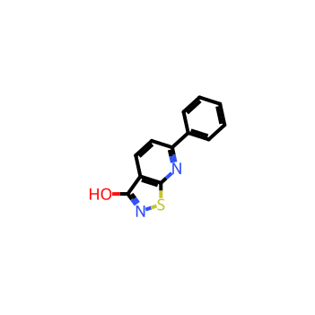 Oc1nsc2nc(-c3ccccc3)ccc12